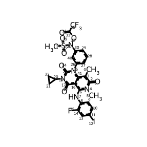 Cc1c(=O)n(C)c(Nc2ccc(I)cc2F)c2c(=O)n(C3CC3)c(=O)n(-c3cccc(N(OC(=O)C(F)(F)F)S(C)(=O)=O)c3)c12